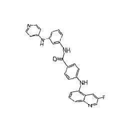 O=C(Nc1cccc(Nc2ccncc2)c1)c1ccc(Nc2cccc3ncc(F)cc23)cc1